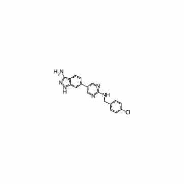 Nc1n[nH]c2cc(-c3cnc(NCc4ccc(Cl)cc4)nc3)ccc12